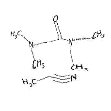 CC#N.CN(C)C(=O)N(C)C